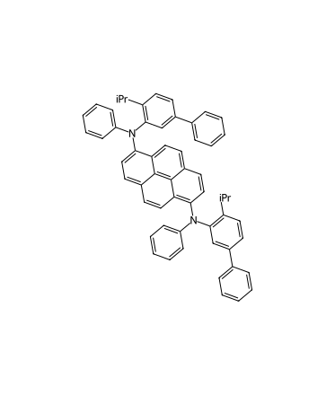 CC(C)c1ccc(-c2ccccc2)cc1N(c1ccccc1)c1ccc2ccc3c(N(c4ccccc4)c4cc(-c5ccccc5)ccc4C(C)C)ccc4ccc1c2c43